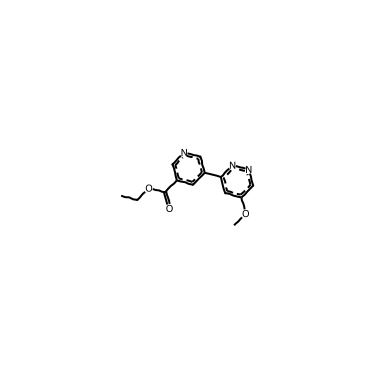 CCOC(=O)c1cncc(-c2cc(OC)cnn2)c1